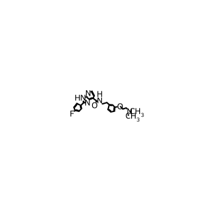 CN(C)CCOc1cccc(CCNC(=O)c2ccnc3[nH]c(-c4ccc(F)cc4)nc23)c1